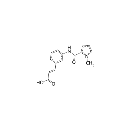 Cn1cccc1C(=O)Nc1cccc(C=CC(=O)O)c1